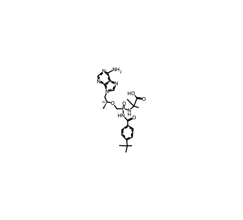 C[C@@H](Cn1cnc2c(N)ncnc21)OCP(=O)(NC(=O)c1ccc(C(C)(C)C)cc1)NC(C)(C)C(=O)O